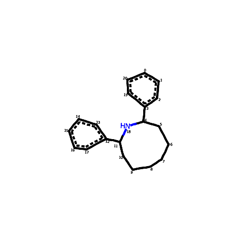 c1ccc(C2CCCCCCC(c3ccccc3)N2)cc1